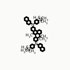 Cc1c2c3c(cccc3c3cc(N(c4ccc([Si](C)(C)C)cc4)c4ccc5ccccc5c4)ccc13)C(C)(C)c1cc(N(c3ccc([Si](C)(C)C)cc3)c3ccc4ccccc4c3)ccc1-2